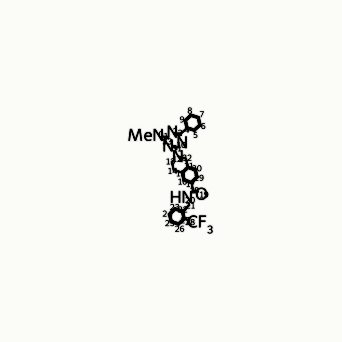 CNc1nc(-c2ccccc2)nc(N2CCc3cc(C(=O)NCc4ccccc4C(F)(F)F)ccc3C2)n1